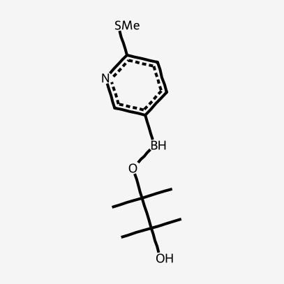 CSc1ccc(BOC(C)(C)C(C)(C)O)cn1